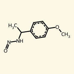 COc1ccc(C(C)NN=O)cc1